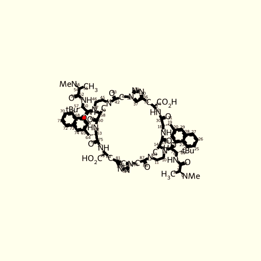 CN[C@@H](C)C(=O)N[C@H](C(=O)N1CCN2C[C@H]1C(=O)N[C@@H](Cc1ccc3ccccc3c1)C(=O)N[C@H](C(=O)O)Cc1cn(nn1)CC(=O)N1CCN(C(=O)[C@@H](NC(=O)[C@H](C)NC)C(C)(C)C)[C@@H](C1)C(=O)N[C@@H](Cc1ccc3ccccc3c1)C(=O)N[C@H](C(=O)O)Cc1cn(nn1)CC2=O)C(C)(C)C